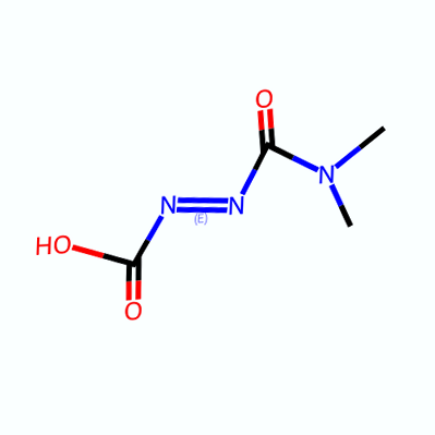 CN(C)C(=O)/N=N/C(=O)O